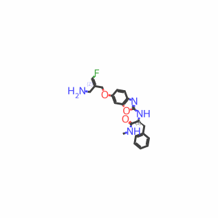 CNC(=O)[C@H](Cc1ccccc1)Nc1nc2ccc(OC/C(=C\F)CN)cc2o1